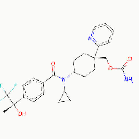 C[C@](O)(c1ccc(C(=O)N(C2CC2)[C@H]2CC[C@@](COC(N)=O)(c3ccccn3)CC2)cc1)C(F)(F)F